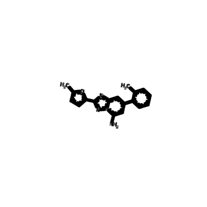 Cc1ccc(-c2nc3cc(-c4ccccc4C)cc(N)n3n2)o1